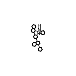 c1ccc(-c2ccc(-c3ccc4c(c3)N3c5ccccc5NC3c3c-4ccc4ccccc34)c3ccccc23)cc1